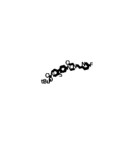 CC(C)(C)OC(=O)N1CCc2c(sc3cc(N4CCN(CCc5ccc(F)cn5)CC4=O)ccc23)C1